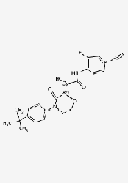 CC(C)(C)c1ccc(N2CCO[C@H]([C@@H](O)C(=O)Nc3ccc(C#N)cc3F)C2=O)cc1